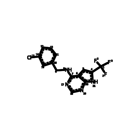 FC(F)(F)c1cc2c(NCc3cccc(Cl)c3)ncnc2[nH]1